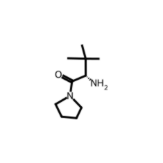 CC(C)(C)[C@H](N)C(=O)N1CCCC1